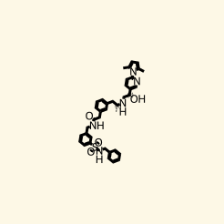 Cc1ccc(C)n1-c1ccc([C@@H](O)CN[C@H](C)Cc2cccc(CC(=O)NCc3cccc(S(=O)(=O)NCc4ccccc4)c3)c2)cn1